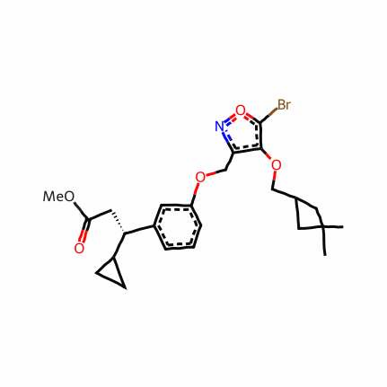 COC(=O)C[C@H](c1cccc(OCc2noc(Br)c2OCC2CC(C)(C)C2)c1)C1CC1